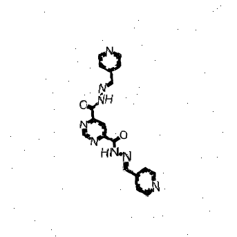 O=C(NN=Cc1ccncc1)c1cc(C(=O)NN=Cc2ccncc2)ncn1